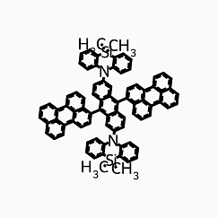 C[Si]1(C)c2ccccc2N(c2ccc3c(-c4ccc5c6cccc7cccc(c8cccc4c85)c76)c4cc(N5c6ccccc6[Si](C)(C)c6ccccc65)ccc4c(-c4ccc5c6cccc7cccc(c8cccc4c85)c76)c3c2)c2ccccc21